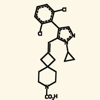 O=C(O)N1CCC2(CC1)CC(=Cc1c(-c3c(Cl)cccc3Cl)cnn1C1CC1)C2